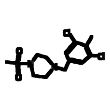 Cc1c(Cl)cc(CN2CCN(S(C)(=O)=O)CC2)cc1Cl